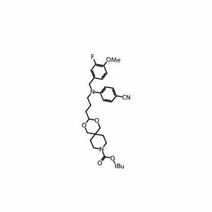 COc1ccc(CN(CCCC2OCC3(CCN(C(=O)OC(C)(C)C)CC3)CO2)c2ccc(C#N)cc2)cc1F